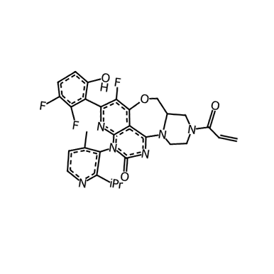 C=CC(=O)N1CCN2c3nc(=O)n(-c4c(C)ccnc4C(C)C)c4nc(-c5c(O)ccc(F)c5F)c(F)c(c34)OCC2C1